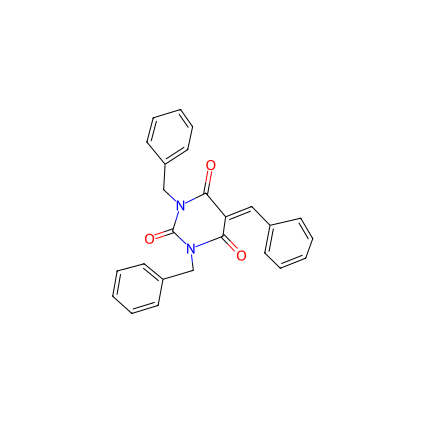 O=C1C(=Cc2ccccc2)C(=O)N(Cc2ccccc2)C(=O)N1Cc1ccccc1